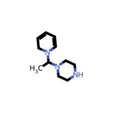 CC(N1C=CC=CC1)N1CCNCC1